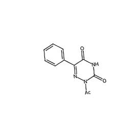 CC(=O)n1nc(-c2ccccc2)c(=O)[nH]c1=O